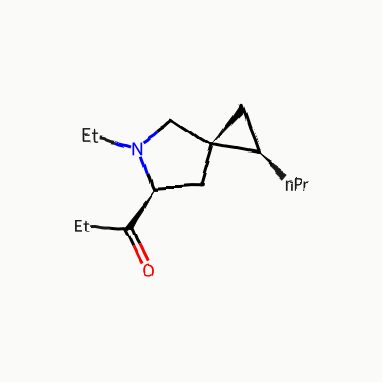 CCC[C@@H]1C[C@]12C[C@@H](C(=O)CC)N(CC)C2